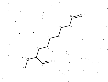 COC([C]=O)CCCCCC[C]=O